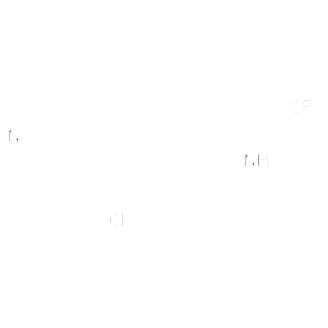 FC(F)(F)c1cc2cc(-c3ccncc3)c(Cl)cc2[nH]1